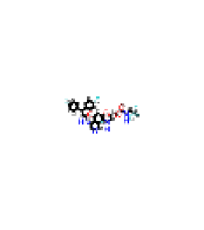 O=C(CC(c1ccc(F)cc1)c1ccc(F)cc1)Nc1cncc(F)c1CC[C@@H]1CNC[C@@H](COC(=O)NCC(F)(F)F)O1